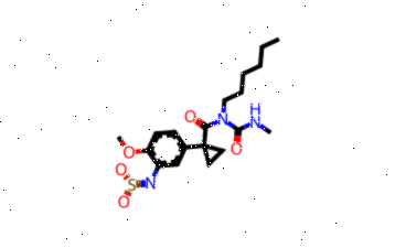 CCCCCCN(C(=O)NC)C(=O)C1(c2ccc(OC)c(N=S(=O)=O)c2)CC1